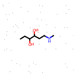 CCC(O)C(O)CCNC